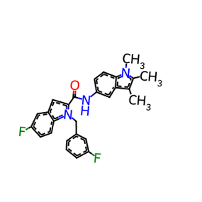 Cc1c(C)n(C)c2ccc(NC(=O)c3cc4cc(F)ccc4n3Cc3cccc(F)c3)cc12